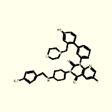 Cc1ccc(CNC2CCC(n3c(=O)c4cc(F)cnc4n(-c4cccc(-c5ccc(O)cc5CN5CCOCC5)c4)c3=O)CC2)cc1